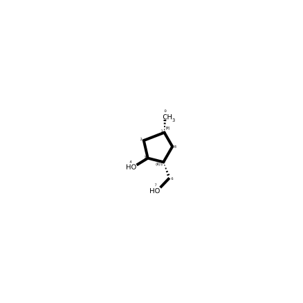 C[C@H]1CC(O)[C@@H](CO)C1